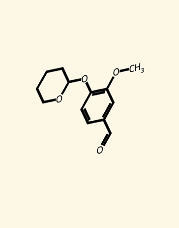 COc1cc(C=O)ccc1OC1CCCCO1